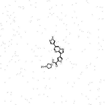 CC(C)N1CC[C@@H](NC(=O)c2cc(-c3cnn4cc(-c5cnn(C)c5)cnc34)cs2)C1